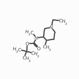 CCN1CCC(C)C(N(C)C(=O)OC(C)(C)C)C1